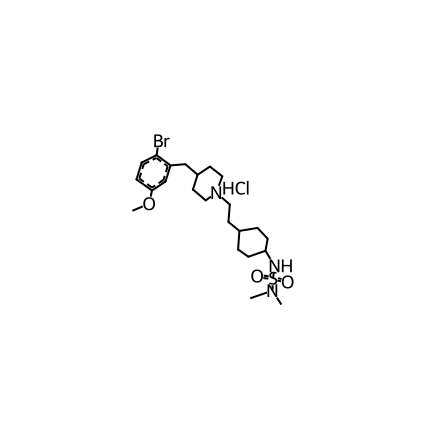 COc1ccc(Br)c(CC2CCN(CCC3CCC(NS(=O)(=O)N(C)C)CC3)CC2)c1.Cl